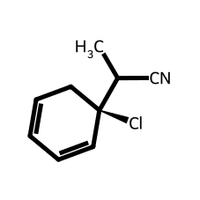 CC(C#N)[C@]1(Cl)C=CC=CC1